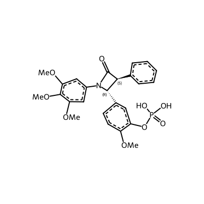 COc1ccc([C@H]2[C@H](c3ccccc3)C(=O)N2c2cc(OC)c(OC)c(OC)c2)cc1OP(=O)(O)O